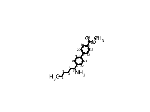 CCCCCC(N)c1ccc(-c2ccc(C(=O)OC)cc2)cc1